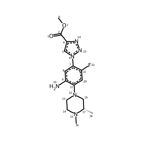 COC(=O)c1cn(-c2cc(N)c(N3CCN(C)[C@@H](C)C3)cc2F)nn1